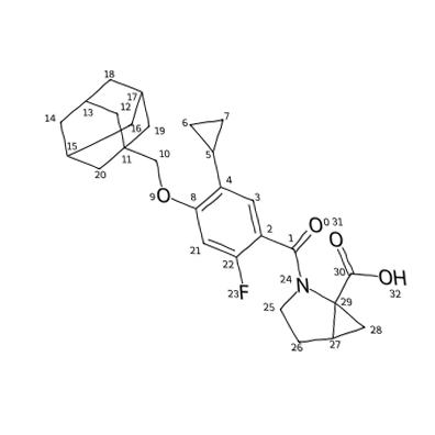 O=C(c1cc(C2CC2)c(OCC23CC4CC(CC(C4)C2)C3)cc1F)N1CCC2CC21C(=O)O